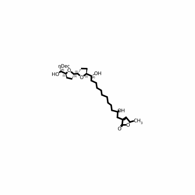 CCCCCCCCCC[C@@H](O)[C@@H]1CC[C@@H]([C@@H]2CC[C@@H]([C@H](O)CCCCCCCCCC(O)CC3=CC(C)OC3=O)O2)O1